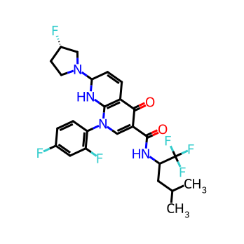 CC(C)CC(NC(=O)c1cn(-c2ccc(F)cc2F)c2c(c1=O)C=CC(N1CC[C@H](F)C1)N2)C(F)(F)F